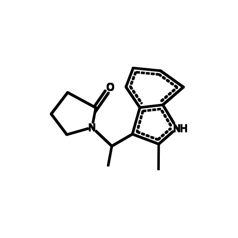 Cc1[nH]c2ccccc2c1C(C)N1CCCC1=O